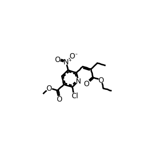 CCOC(=O)C(=Cc1nc(Cl)c(C(=O)OC)cc1[N+](=O)[O-])CC